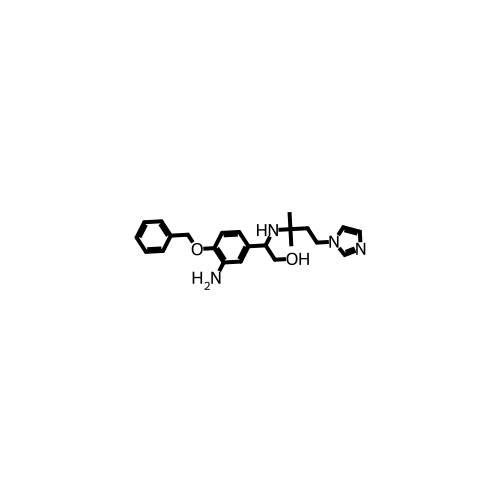 CC(C)(CCn1ccnc1)NC(CO)c1ccc(OCc2ccccc2)c(N)c1